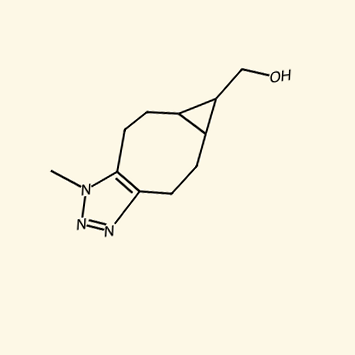 Cn1nnc2c1CCC1C(CO)C1CC2